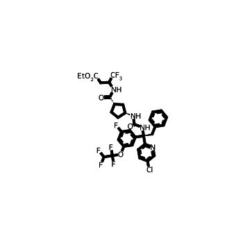 CCOC(=O)CC(NC(=O)[C@H]1CC[C@@H](NC(=O)N[C@@](Cc2ccccc2)(c2cc(F)cc(OC(F)(F)C(F)F)c2)c2ccc(Cl)cn2)C1)C(F)(F)F